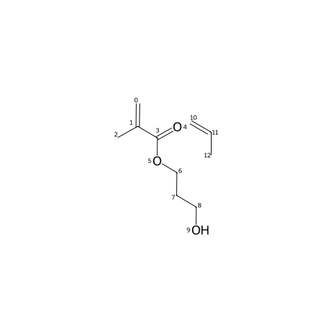 C=C(C)C(=O)OCCCO.C=CC